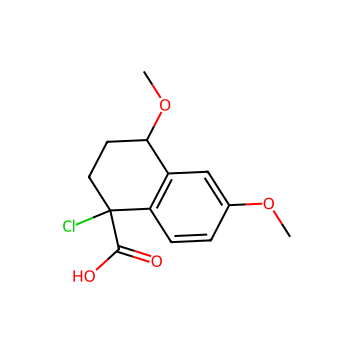 COc1ccc2c(c1)C(OC)CCC2(Cl)C(=O)O